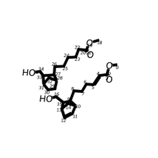 COC(=O)C=CCCCC1C2C=CC(C2)C1CO.COC(=O)CCCCCC1C2CCC(C2)C1CO